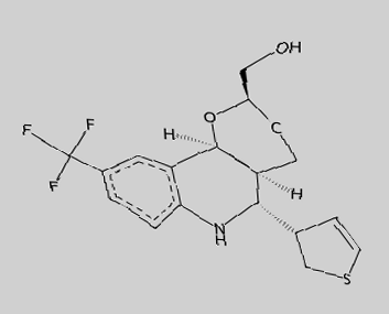 OC[C@H]1CC[C@@H]2[C@H](O1)c1cc(C(F)(F)F)ccc1N[C@H]2C1C=CSC1